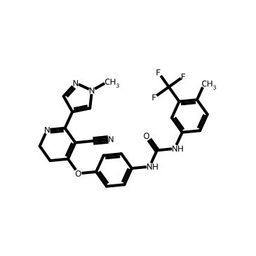 Cc1ccc(NC(=O)Nc2ccc(OC3=C(C#N)C(c4cnn(C)c4)=NCC3)cc2)cc1C(F)(F)F